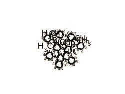 Cc1cccc(C)c1B(c1ccc(-c2c(-c3ccc(B(c4c(C)cccc4C)c4c(C)cccc4C)cc3)c(-c3ccccc3)c3ccccc3c2-c2ccccc2)cc1)c1c(C)cccc1C